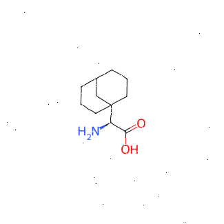 N[C@H](C(=O)O)C12CCCC(CCC1)C2